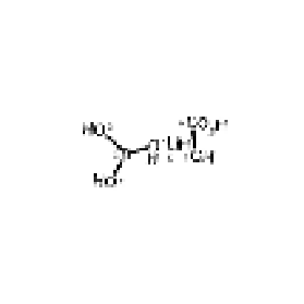 O=C(O)O.OB(O)O.[LiH]